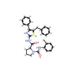 Cc1ccccc1NC(=O)N1CCCC1C(=O)Nc1nc(-c2ccccc2)c(Cc2ccccc2)s1